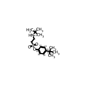 CC(C)(C)NCCS(=O)(=O)Oc1ccc(C(C)(C)C)cc1